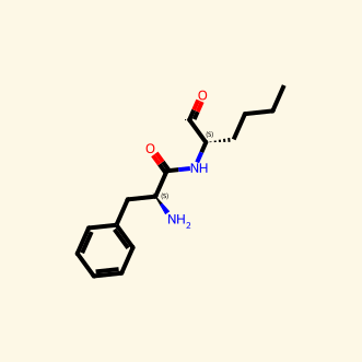 CCCC[C@@H]([C]=O)NC(=O)[C@@H](N)Cc1ccccc1